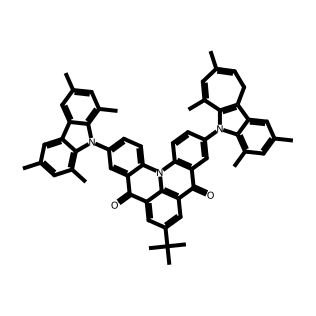 CC1=CCc2c(n(-c3ccc4c(c3)c(=O)c3cc(C(C)(C)C)cc5c(=O)c6cc(-n7c8c(C)cc(C)cc8c8cc(C)cc(C)c87)ccc6n4c35)c3c(C)cc(C)cc23)C(C)=C1